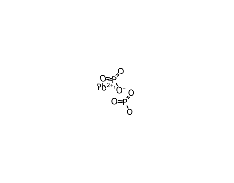 O=P(=O)[O-].O=P(=O)[O-].[Pb+2]